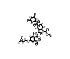 CCOC(=O)n1nc(NC(=O)c2ccc(OCCN(C)C)cc2[N+](=O)[O-])c2c1CCN(S(=O)(=O)c1cc(F)cc(F)c1)C2